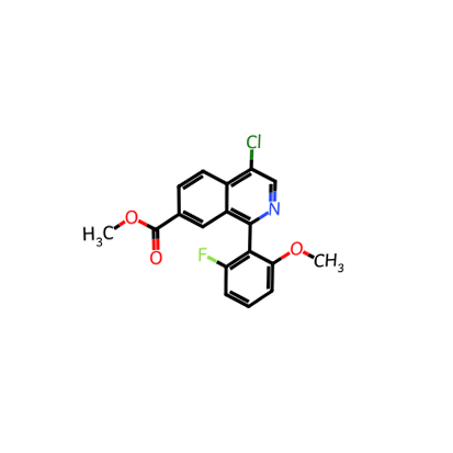 COC(=O)c1ccc2c(Cl)cnc(-c3c(F)cccc3OC)c2c1